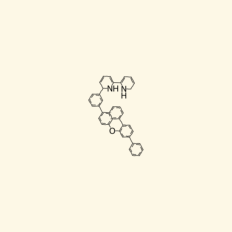 C1=CCNC(C2=CC=CC(c3cccc(-c4ccc5c6c(cccc46)-c4ccc(-c6ccccc6)cc4O5)c3)N2)=C1